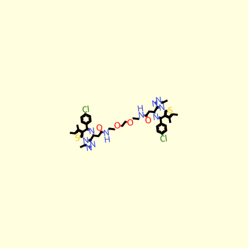 Cc1sc2c(c1C)C(c1ccc(Cl)cc1)=NC(CC(=O)NCCOCCOCCNC(=O)CC1N=C(c3ccc(Cl)cc3)c3c(sc(C)c3C)-n3c(C)nnc31)c1nnc(C)n1-2